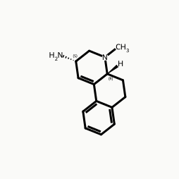 CN1C[C@@H](N)C=C2c3ccccc3CC[C@H]21